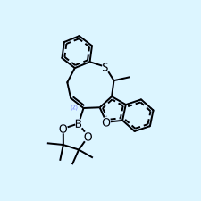 CC1Sc2ccccc2C/C=C(/B2OC(C)(C)C(C)(C)O2)c2oc3ccccc3c21